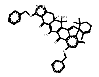 COC1(C)C2=C(C(=O)c3c(OCc4ccccc4)cc(C)c4c3C2=CC42C(C)=CCCC2(C)C)C(O)=C2C(=O)c3c(OCc4ccccc4)noc3C[C@@H]21